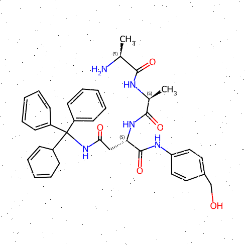 C[C@H](N)C(=O)N[C@@H](C)C(=O)N[C@@H](CC(=O)NC(c1ccccc1)(c1ccccc1)C1C=CC=CC1)C(=O)Nc1ccc(CO)cc1